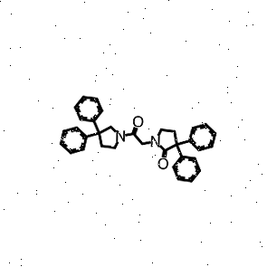 O=C(CN1CCC(c2ccccc2)(c2ccccc2)C1=O)N1CCC(c2ccccc2)(c2ccccc2)C1